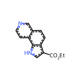 CCOC(=O)c1c[nH]c2c1ccc1cnccc12